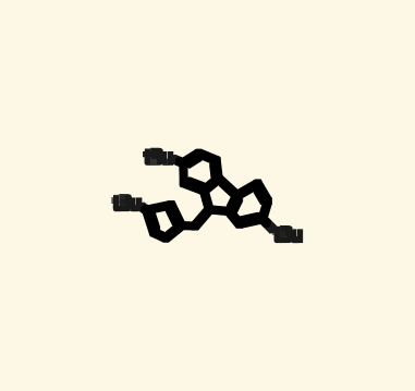 CC(C)(C)C1=CCC(CC2c3cc(C(C)(C)C)ccc3-c3ccc(C(C)(C)C)cc32)=C1